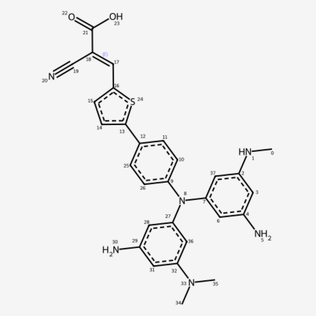 CNc1cc(N)cc(N(c2ccc(-c3ccc(/C=C(\C#N)C(=O)O)s3)cc2)c2cc(N)cc(N(C)C)c2)c1